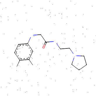 CNc1ccc(N[C@H](C)C(=O)NCCN2CCCC2)cc1OC